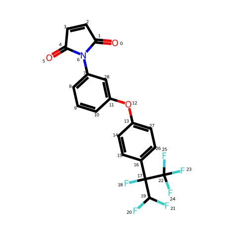 O=C1C=CC(=O)N1c1cccc(Oc2ccc(C(F)(C(F)F)C(F)(F)F)cc2)c1